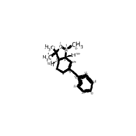 CN1OC(C)(C)[C@@H]2CCC(c3ccccc3)C[C@H]21